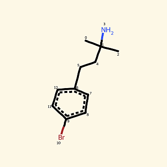 CC(C)(N)CCc1ccc(Br)cc1